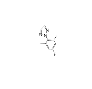 Cc1cc(F)cc(C)c1-n1nccn1